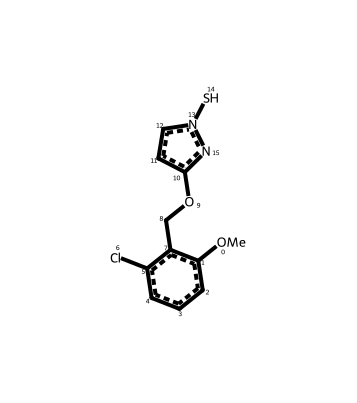 COc1cccc(Cl)c1COc1ccn(S)n1